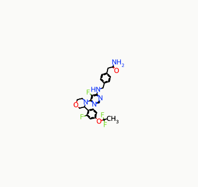 CC(F)(F)Oc1ccc(C2COCCN2c2ncnc(NCc3ccc(CC(N)=O)cc3)c2F)c(F)c1